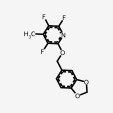 Cc1c(F)c(F)nc(OCc2ccc3c(c2)OCO3)c1F